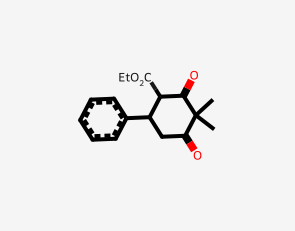 CCOC(=O)C1C(=O)C(C)(C)C(=O)CC1c1ccccc1